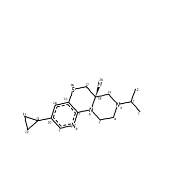 CC(C)N1CCN2c3ncc(C4CC4)cc3SC[C@@H]2C1